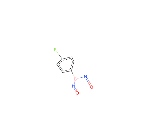 O=NB(N=O)c1ccc(F)cc1